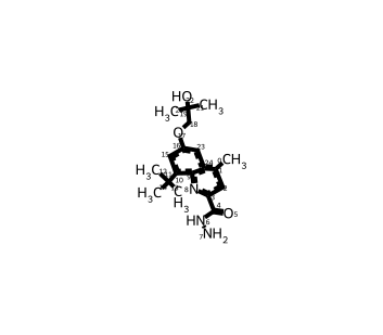 Cc1cc(C(=O)NN)nc2c(C(C)(C)C)cc(OCC(C)(C)O)cc12